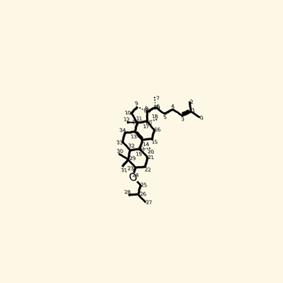 CC(C)=CCC[C@@H](C)[C@H]1CC[C@@]2(C)C3=C(CC[C@]12C)[C@@]1(C)CCC(OCC(C)C)C(C)(C)C1CC3